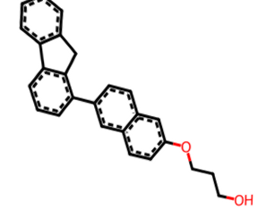 OCCCOc1ccc2cc(-c3cccc4c3Cc3ccccc3-4)ccc2c1